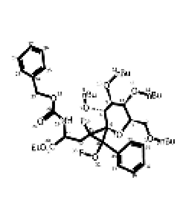 CCCCOC[C@H]1O[C@]2([C@H](OCCCC)[C@@H](OCCCC)[C@H]1OCCCC)C(F)(CC(NC(=O)OCc1ccccc1)C(=O)OCC)C2(OF)c1ccccc1